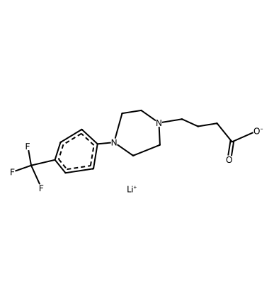 O=C([O-])CCCN1CCN(c2ccc(C(F)(F)F)cc2)CC1.[Li+]